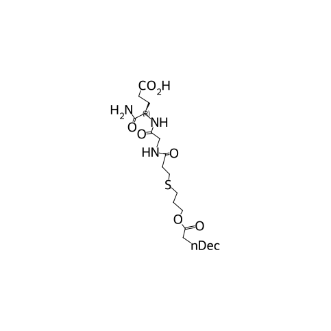 CCCCCCCCCCCC(=O)OCCCSCCC(=O)NCC(=O)N[C@H](CCC(=O)O)C(N)=O